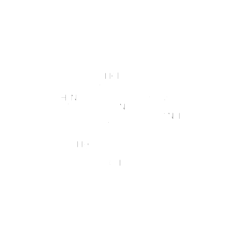 CC(C)C[C@@H]1CC(N)CCN1C1CCNCC1.Cl